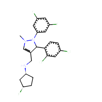 CN1C=C(CN[C@H]2CC[C@@H](F)C2)C(c2ccc(Cl)cc2Cl)N1c1cc(F)cc(F)c1